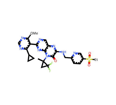 CCS(=O)(=O)c1ccc(CNc2nc3cnc(-c4c(OC)ncnc4C4CC4)nc3n(C3(C)CC3(F)F)c2=O)nc1